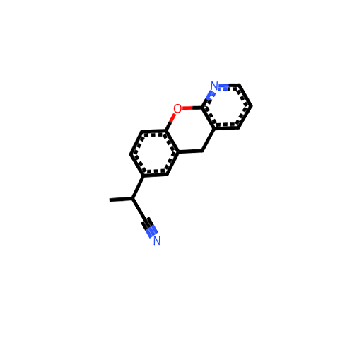 CC(C#N)c1ccc2c(c1)Cc1cccnc1O2